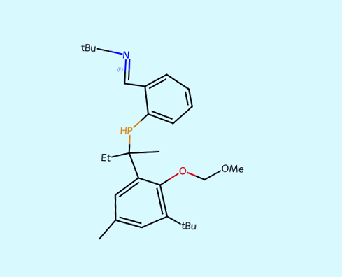 CCC(C)(Pc1ccccc1/C=N/C(C)(C)C)c1cc(C)cc(C(C)(C)C)c1OCOC